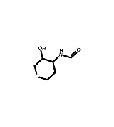 O=[C]NC1CCOCC1O